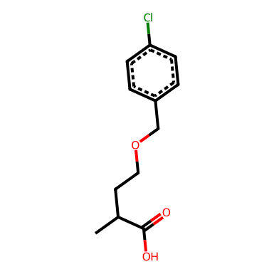 CC(CCOCc1ccc(Cl)cc1)C(=O)O